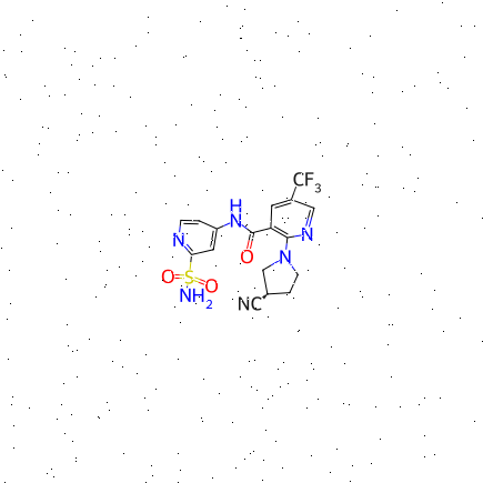 N#C[C@@H]1CCN(c2ncc(C(F)(F)F)cc2C(=O)Nc2ccnc(S(N)(=O)=O)c2)C1